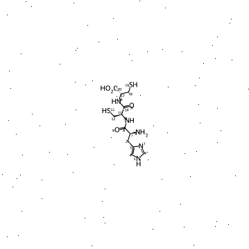 N[C@@H](Cc1c[nH]cn1)C(=O)N[C@@H](CS)C(=O)N[C@@H](CS)C(=O)O